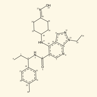 CCC(NC(=O)c1cnc2c(cnn2CC)c1NC1CCC(=NO)CC1)c1ccc(C)cc1